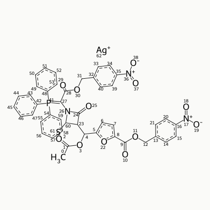 CC(=O)OC(c1ccc(C(=O)OCc2ccc([N+](=O)[O-])cc2)o1)C1C(=O)N(C(C(=O)OCc2ccc([N+](=O)[O-])cc2)=P(c2ccccc2)(c2ccccc2)c2ccccc2)C1[S-].[Ag+]